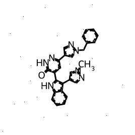 Cn1cc(-c2c(-c3cc(-c4cnn(Cc5ccccc5)c4)n[nH]c3=O)[nH]c3ccccc23)cn1